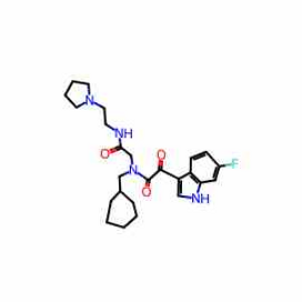 O=C(CN(CC1CCCCC1)C(=O)C(=O)c1c[nH]c2cc(F)ccc12)NCCN1CCCC1